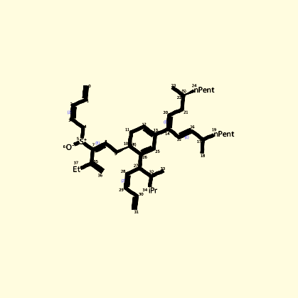 C=C/C=C\C[S+]([O-])/C(=C/C[C@H]1CC=C(C(/C=C/C(C)CCCCC)=C/C[C@@H](C)CCCCC)C=C1C(/C=C\C=C)C(C)C(C)C)C(=C)CC